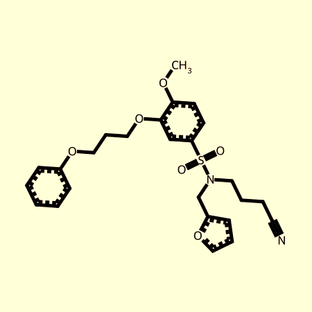 COc1ccc(S(=O)(=O)N(CCCC#N)Cc2ccco2)cc1OCCCOc1ccccc1